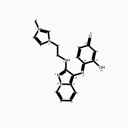 C[n+]1ccn(CCNc2nn3ccccc3c2/N=C2\C=CC(=O)C=C2O)c1